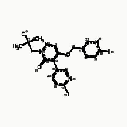 CC(C)(Cl)Cn1ncc(OCc2ccc(I)nc2)c(-c2ccc(I)nc2)c1=O